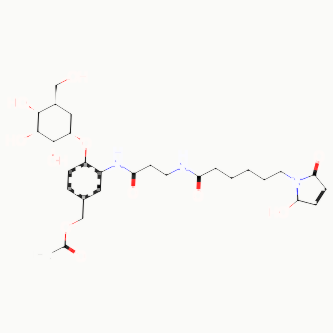 CC(C)(C)C(=O)OCc1ccc(O[C@@H]2C[C@H](CO)[C@H](O)[C@H](O)[C@H]2O)c(NC(=O)CCNC(=O)CCCCCN2C(=O)C=CC2O)c1